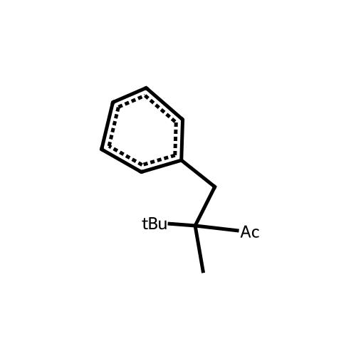 CC(=O)C(C)(Cc1ccccc1)C(C)(C)C